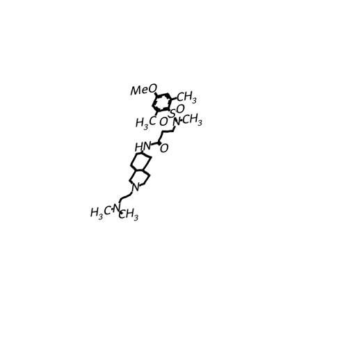 COc1cc(C)c(S(=O)(=O)N(C)CCC(=O)NC2CCC3CN(CCN(C)C)CCC3C2)c(C)c1